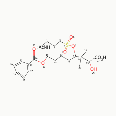 CC(=O)NCCCS(=O)(=O)OC(CCCCOC(=O)c1ccccc1)C(C)(C)[C@@H](O)C(=O)O